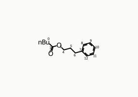 CCCCC(=O)OCCCc1ccccc1